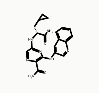 NC(=O)c1ncc(N[C@H](CC2CC2)C(N)=O)nc1Nc1cnc2ccccc2c1